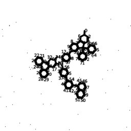 CC1C=CC2=C(C1)c1ccc(-c3ccc(N(C4=Cc5c(c6ccccc6c6ccccc56)CC4C)c4ccc(-c5cccc(-c6cccc7ccccc67)c5)cc4)cc3)cc1C2(c1ccccc1)c1ccccc1